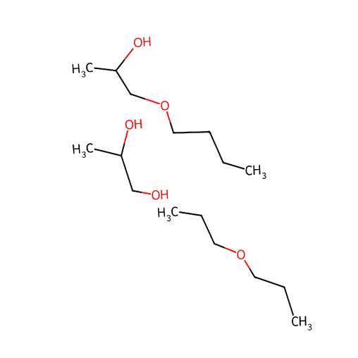 CC(O)CO.CCCCOCC(C)O.CCCOCCC